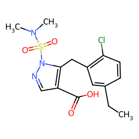 CCc1ccc(Cl)c(Cc2c(C(=O)O)cnn2S(=O)(=O)N(C)C)c1